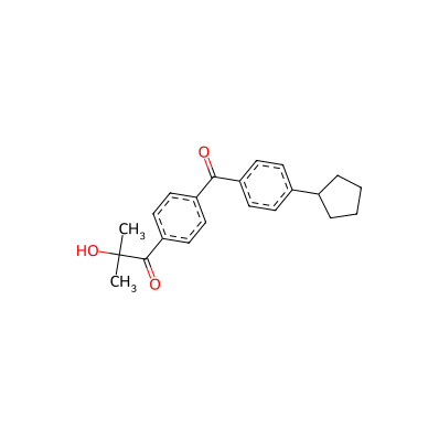 CC(C)(O)C(=O)c1ccc(C(=O)c2ccc(C3CCCC3)cc2)cc1